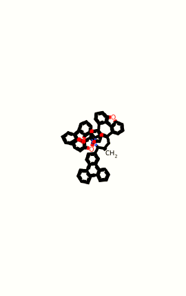 C=C1CC(c2cccc3oc4cccc(-c5ccc6oc7ccccc7c6c5)c4c23)=CC(c2cccc3c2oc2ccccc23)=NC1c1ccc2c3ccccc3c3ccccc3c2c1